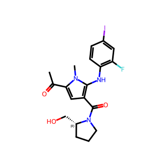 CC(=O)c1cc(C(=O)N2CCC[C@@H]2CO)c(Nc2ccc(I)cc2F)n1C